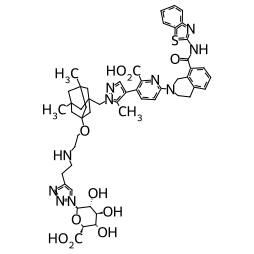 Cc1c(-c2ccc(N3CCc4cccc(C(=O)Nc5nc6ccccc6s5)c4C3)nc2C(=O)O)cnn1CC12CC3(C)CC(C)(C1)CC(OCCNCCc1cn([C@@H]4O[C@H](C(=O)O)[C@@H](O)[C@H](O)[C@H]4O)nn1)(C3)C2